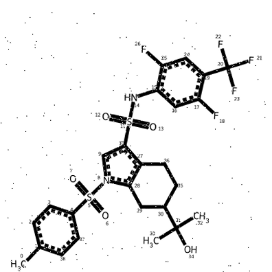 Cc1ccc(S(=O)(=O)n2cc(S(=O)(=O)Nc3cc(F)c(C(F)(F)F)cc3F)c3c2CC(C(C)(C)O)CC3)cc1